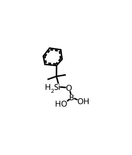 CC(C)([SiH2]OB(O)O)c1ccccc1